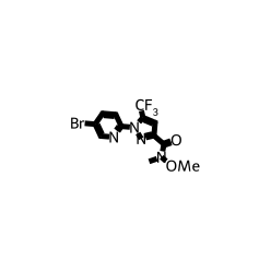 CON(C)C(=O)c1cc(C(F)(F)F)n(-c2ccc(Br)cn2)n1